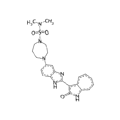 CN(C)S(=O)(=O)N1CCCN(c2ccc3[nH]c(-c4c5cccccc-5[nH]c4=O)nc3c2)CC1